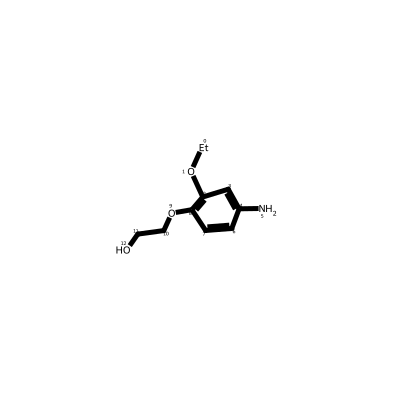 CCOc1cc(N)ccc1OCCO